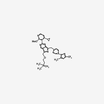 COc1nccc(C2CC2)c1-c1ncc2c(n1)c(Cc1ccc(-c3nc(C(F)(F)F)cn3C)cc1)nn2COCC[Si](C)(C)C